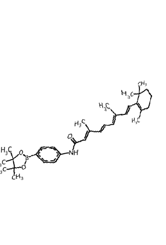 CC1=C(/C=C/C(C)=C/C=C/C(C)=C/C(=O)Nc2ccc(B3OC(C)(C)C(C)(C)O3)cc2)C(C)(C)CCC1